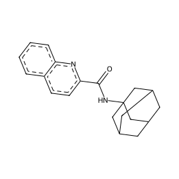 O=C(NC12CC3CC(CC(C3)C1)C2)c1ccc2ccccc2n1